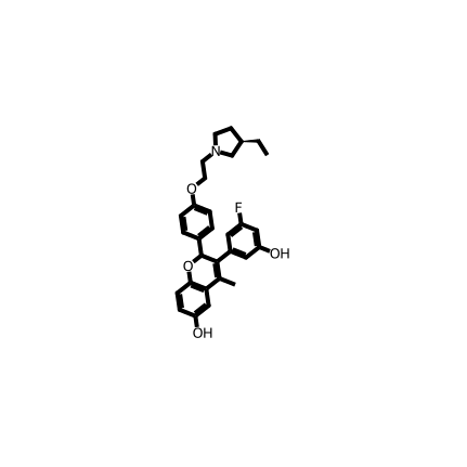 CC[C@@H]1CCN(CCOc2ccc(C3Oc4ccc(O)cc4C(C)=C3c3cc(O)cc(F)c3)cc2)C1